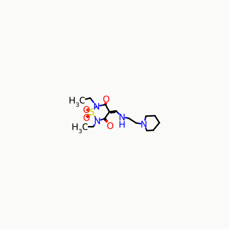 CCN1C(=O)C(=CNCCN2CCCCC2)C(=O)N(CC)S1(=O)=O